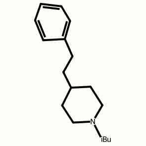 CCC(C)N1CCC(CCc2ccccc2)CC1